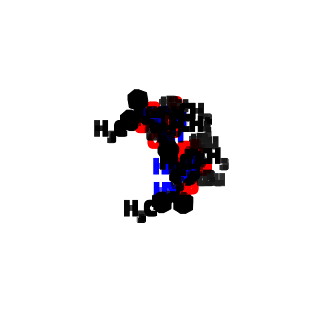 Cc1ccc([C@H](NC(=O)[C@@H]2C[C@H](NC(=O)c3ccc(C(=O)N[C@H]4C[C@@H](C(=O)N[C@H](c5ccccc5)c5ccc(C)cc5)N(C(=O)[C@@H](NC(=O)[C@H](C)N(C)C(=O)OC(C)(C)C)C(C)(C)C)C4)cc3)CN2C(=O)[C@@H](NC(=O)[C@H](C)N(C)C(=O)OC(C)(C)C)C(C)(C)C)c2ccccc2)cc1